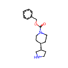 O=C(OCc1ccccc1)N1CCC(C2CCNC2)CC1